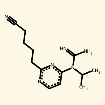 CC(C)N(C(=N)N)c1ccnc(CCCCC#N)n1